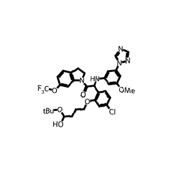 COc1cc(NC(C(=O)N2CCc3ccc(OC(F)(F)F)cc32)c2ccc(Cl)cc2OCCCC(O)OC(C)(C)C)cc(-n2cncn2)c1